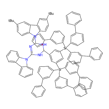 CC(C)(C)c1ccc2c(c1)c1cc(C(C)(C)C)ccc1n2C1N=C(n2c3ccccc3c3ccccc32)NC(c2cc([Si](c3cccc(-c4ccccc4)c3)(c3cccc(-c4ccccc4)c3)c3cccc(-c4ccccc4)c3)cc([Si](c3cccc(-c4ccccc4)c3)(c3cccc(-c4ccccc4)c3)c3cccc(-c4ccccc4)c3)c2)N1